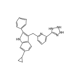 c1ccc(-c2[nH]c3cc(C4CC4)ccc3c2Cc2cccc(C3=NNNN3)n2)cc1